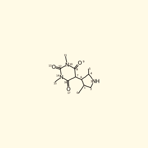 CC1CNC(C)C1C1C(=O)N(C)C(=O)N(C)C1=O